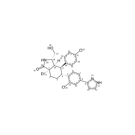 CC[C@@]12CC[C@@H](c3ccc(-c4cc[nH]n4)cc3Cl)[C@H](c3ccc(Cl)cc3)[C@@H]1[C@@H](CO)NC2=O